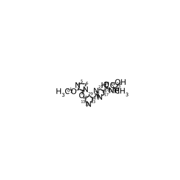 CCOc1nccnc1Oc1cncc(-c2ncc(C(=O)NC(C)(C)CO)cn2)c1